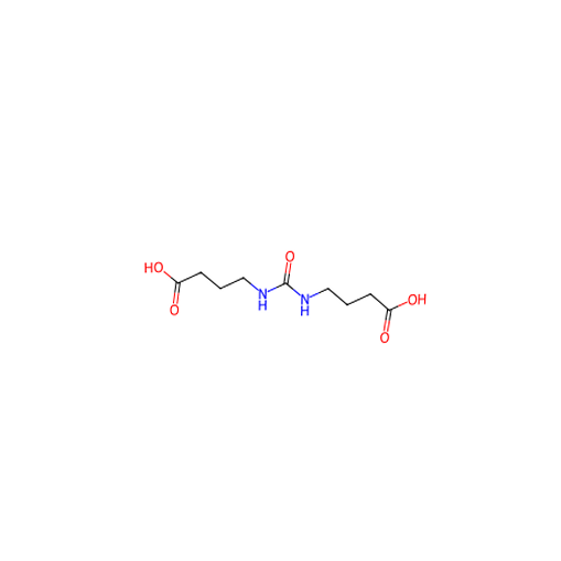 O=C(O)CCCNC(=O)NCCCC(=O)O